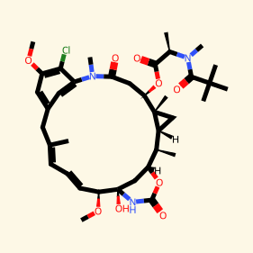 COc1cc2cc(c1Cl)N(C)C(=O)C[C@@H](OC(=O)[C@@H](C)N(C)C(=O)C(C)(C)C)[C@]1(C)C[C@@H]1[C@@H](C)[C@H]1C[C@](O)(NC(=O)O1)[C@@H](OC)/C=C/C=C(\C)C2